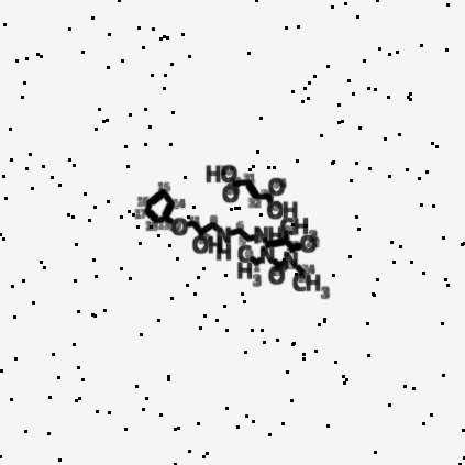 CCn1c(NCCNCC(O)COc2ccccc2)c(C)c(=O)n(CC)c1=O.O=C(O)/C=C/C(=O)O